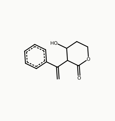 C=C(c1ccccc1)C1C(=O)OCCC1O